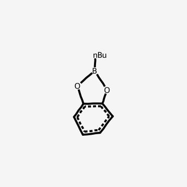 CCCCB1Oc2ccccc2O1